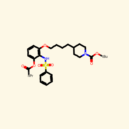 CCCC(=O)Oc1cccc(OCCCCC2CCN(C(=O)OC(C)(C)C)CC2)c1NS(=O)(=O)c1ccccc1